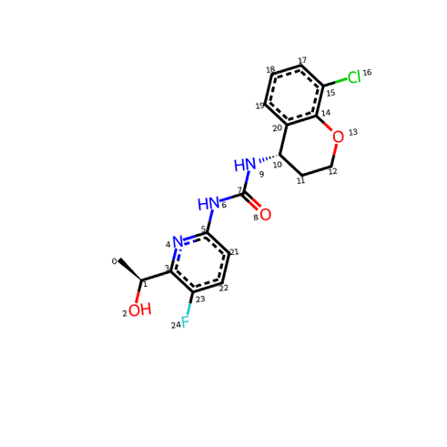 C[C@H](O)c1nc(NC(=O)N[C@H]2CCOc3c(Cl)cccc32)ccc1F